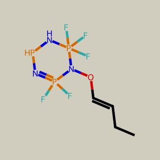 CCC=CON1P(F)(F)=NPNP1(F)(F)F